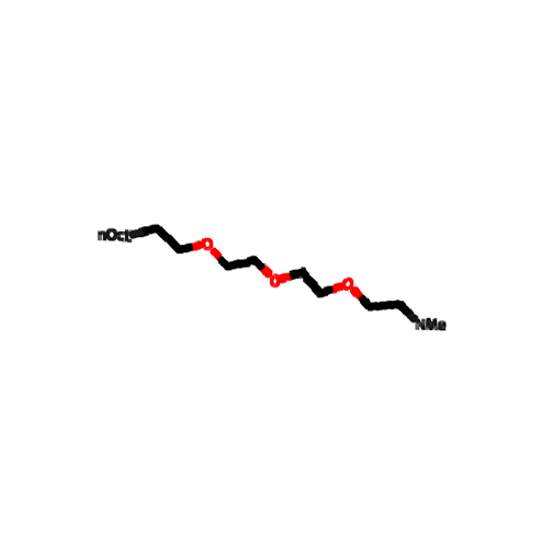 CCCCCCCCCCOCCOCCOCCNC